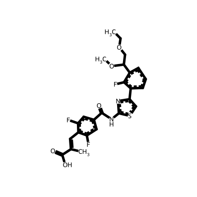 CCOCC(OC)c1cccc(-c2csc(NC(=O)c3cc(F)c(C=C(C)C(=O)O)c(F)c3)n2)c1F